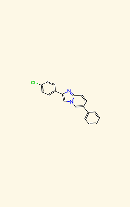 Clc1ccc(-c2cn3cc(-c4ccccc4)ccc3n2)cc1